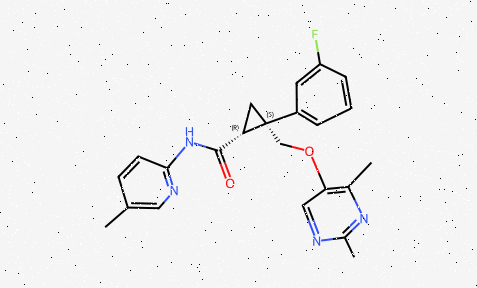 Cc1ccc(NC(=O)[C@@H]2C[C@@]2(COc2cnc(C)nc2C)c2cccc(F)c2)nc1